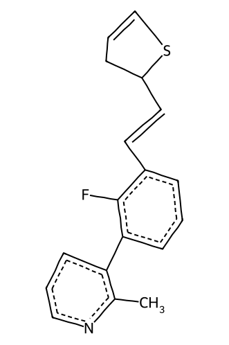 Cc1ncccc1-c1cccc(C=CC2CC=CS2)c1F